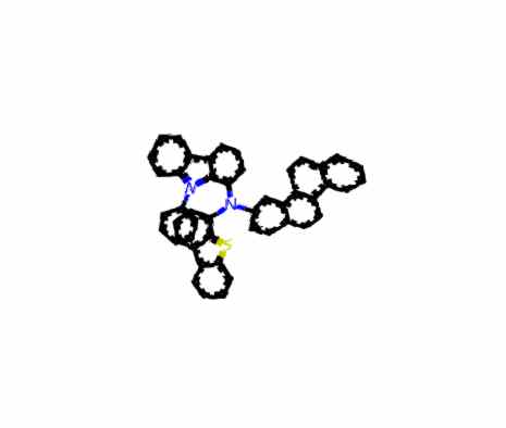 c1ccc(-n2c3ccccc3c3cccc(N(c4ccc5ccc6c7ccccc7ccc6c5c4)c4cccc5c4sc4ccccc45)c32)cc1